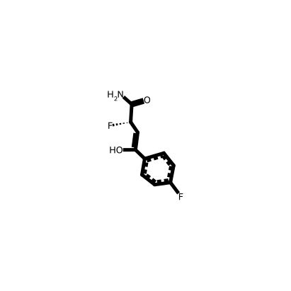 NC(=O)[C@@H](F)C=C(O)c1ccc(F)cc1